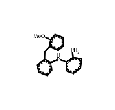 COc1ccccc1Cc1ccccc1Pc1ccccc1P